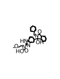 COCCN(C(=O)O)c1nc2cc(C3(O)c4ccccc4C(=O)N3Cc3ccccc3)ccc2[nH]1